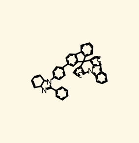 C1=CC2N=C(c3ccccc3)N(c3ccc(-c4ccc5c(c4)C4(c6ccccc6-5)c5ccccc5-n5c6ccccc6c6cccc4c65)cc3)C2C=C1